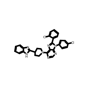 Clc1ccc(-n2c(-c3ccccc3Cl)nc3c(N4CCC(c5nc6ccccc6[nH]5)CC4)ncnc32)cc1